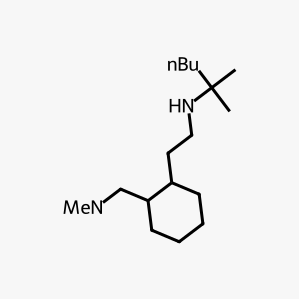 CCCCC(C)(C)NCCC1CCCCC1CNC